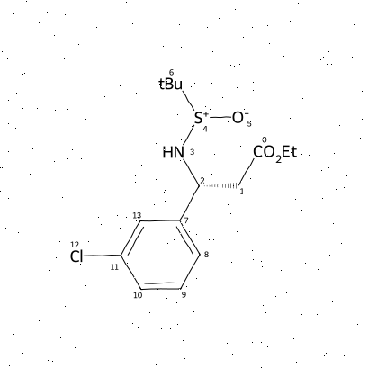 CCOC(=O)C[C@@H](N[S+]([O-])C(C)(C)C)c1cccc(Cl)c1